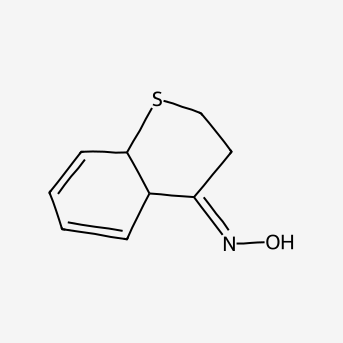 ON=C1CCSC2C=CC=CC12